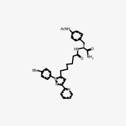 CC(=O)Nc1ccc(C[C@H](NC(=O)CCCCCc2cc(-c3ccccn3)nn2-c2ccc(C(C)(C)C)cc2)C(N)=O)cc1